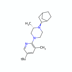 Cc1cc(C(C)(C)C)cnc1N1CCN([C@H]2CC3CCC2C3)[C@@H](C)C1